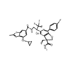 Cc1nc2c(OC3CC3)cc(C(=O)NC[C@](O)(c3cc4c(c(-c5ccc(F)cc5)n3)OC[C@]4(CF)C(N)=O)C(F)(F)F)cc2s1